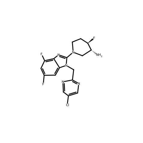 N[C@@H]1CN(c2nc3c(F)cc(F)cc3n2Cc2ncc(Cl)cn2)CC[C@H]1F